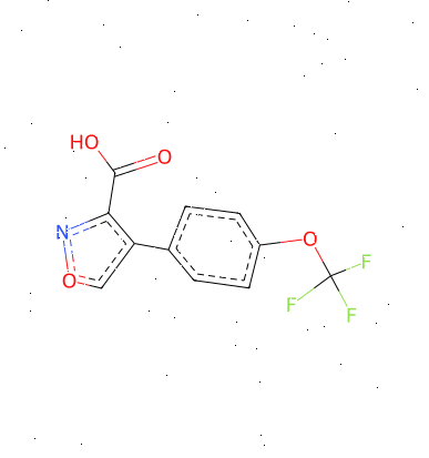 O=C(O)c1nocc1-c1ccc(OC(F)(F)F)cc1